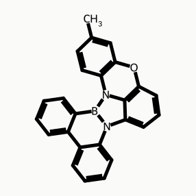 Cc1ccc2c(c1)Oc1cccc3c1N2B1c2ccccc2-c2ccccc2N13